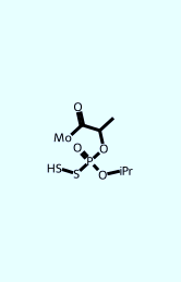 CC(C)OP(=O)(OC(C)[C](=O)[Mo])SS